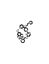 COc1cc(C)c(S(=O)(=O)N2CCCCC2COc2ccnc(N3CCC(OCCN4CCCC4)(c4cccnc4)CC3)n2)c(C)c1